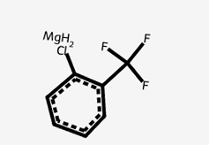 FC(F)(F)c1ccccc1Cl.[MgH2]